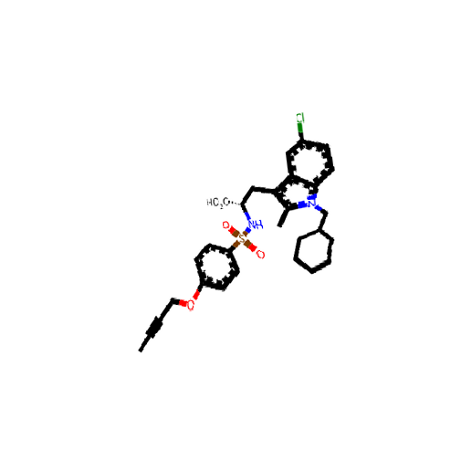 CC#CCOc1ccc(S(=O)(=O)N[C@@H](Cc2c(C)n(CC3CCCCC3)c3ccc(Cl)cc23)C(=O)O)cc1